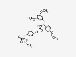 CCOc1ccc(C(Cc2cc(OC)cc(OC)c2)NC(=O)COc2ccc(C[C@H](OCC)C(=O)O)cc2)cc1